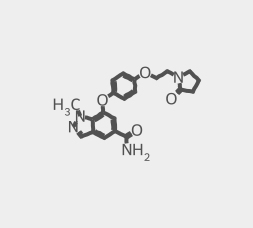 Cn1ncc2cc(C(N)=O)cc(Oc3ccc(OCCN4CCCC4=O)cc3)c21